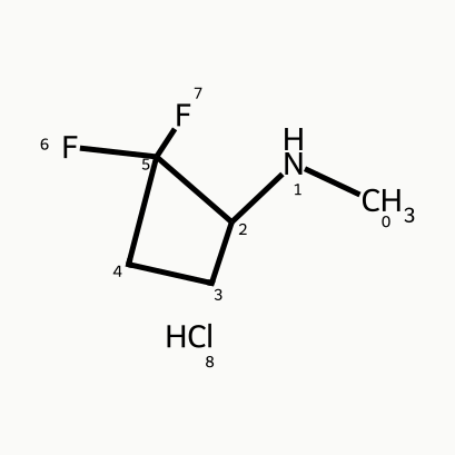 CNC1CCC1(F)F.Cl